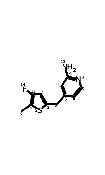 Cc1sc(Cc2ccnc(N)c2)cc1F